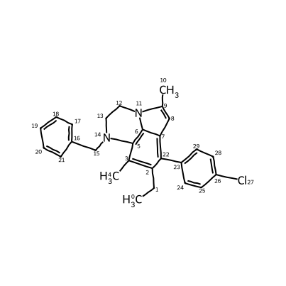 CCc1c(C)c2c3c(cc(C)n3CCN2Cc2ccccc2)c1-c1ccc(Cl)cc1